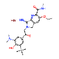 Br.CCOc1cc2c(nc1C(=O)NC)C(=N)N(CC(=O)c1cc(N(C)C)c(O)c(C(C)(C)C)c1)C2